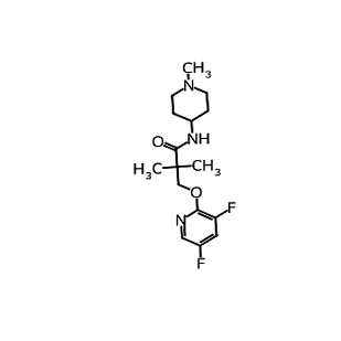 CN1CCC(NC(=O)C(C)(C)COc2ncc(F)cc2F)CC1